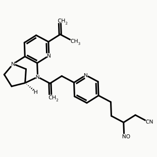 C=C(C)c1ccc2c(n1)N(C(=C)Cc1ccc(CCC(CC#N)N=O)cn1)[C@H]1CCN2C1